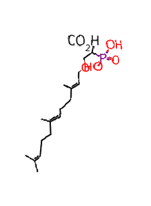 CC(C)=CCC/C(C)=C/CC/C(C)=C/COCC(C(=O)O)P(=O)(O)O